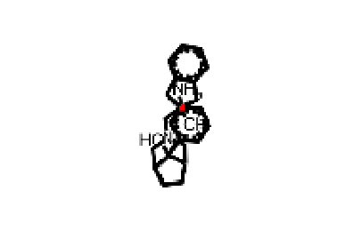 Nc1cccc(C2(O)C3CCC2CN(CC2(O)Cc4ccccc4C2)C3)c1